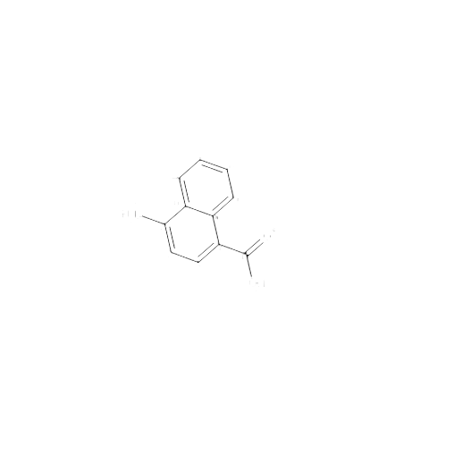 Bc1ccc(C(=O)O)c2ccccc12